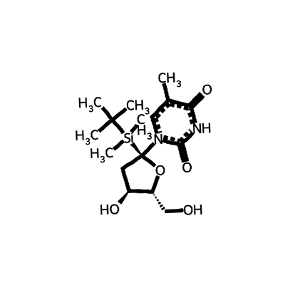 Cc1cn([C@@]2([Si](C)(C)C(C)(C)C)C[C@H](O)[C@@H](CO)O2)c(=O)[nH]c1=O